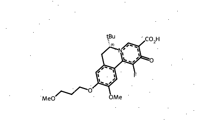 COCCCOc1cc2c(cc1OC)-c1c(F)c(=O)c(C(=O)O)cn1[C@@H](C(C)(C)C)C2